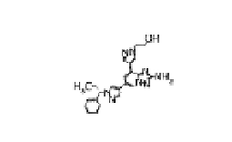 CC[C@@H](c1ccccc1)n1cc(-c2cc(-c3cnn(CCO)c3)c3nc(N)nn3c2)cn1